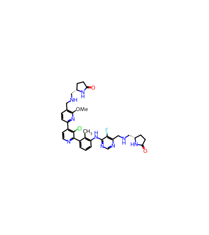 COc1nc(-c2ccnc(-c3cccc(Nc4ncnc(CNC[C@@H]5CCC(=O)N5)c4F)c3C)c2Cl)ccc1CNC[C@@H]1CCC(=O)N1